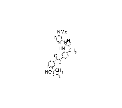 CNc1cc(-n2nccc2Nc2cc(NC(=O)c3ccnc(C(C)(C)C#N)c3)ccc2C)ncn1